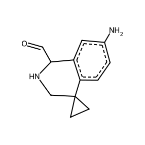 Nc1ccc2c(c1)C(C=O)NCC21CC1